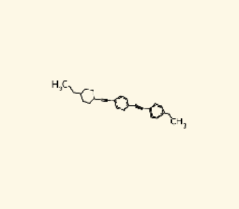 CCCC1CCC(C#Cc2ccc(C#Cc3ccc(CC)cc3)cc2)CC1